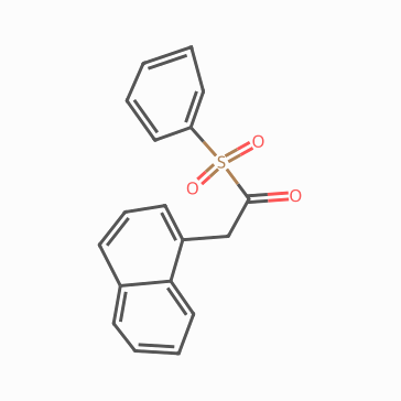 O=C(Cc1cccc2ccccc12)S(=O)(=O)c1ccccc1